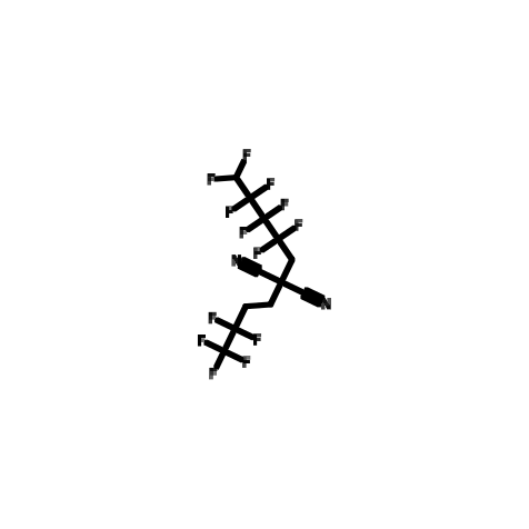 N#CC(C#N)(CCC(F)(F)C(F)(F)F)CC(F)(F)C(F)(F)C(F)(F)C(F)F